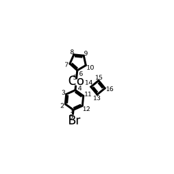 Brc1cc[c]([Co][C]2=CC=CC2)cc1.C1=CC=C1